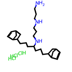 Cl.Cl.Cl.NCCCNCCCNC(CCCC1CC2C=CC1C2)CCCC1CC2C=CC1C2